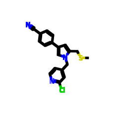 CSCc1cc(-c2ccc(C#N)cc2)cn1Cc1ccnc(Cl)c1